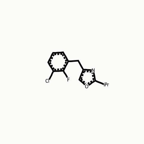 CC(C)c1nc(Cc2cccc(Cl)c2F)co1